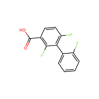 O=C(O)c1ccc(F)c(-c2ccccc2F)c1F